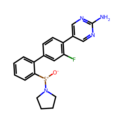 Nc1ncc(-c2ccc(-c3ccccc3[S+]([O-])N3CCCC3)cc2F)cn1